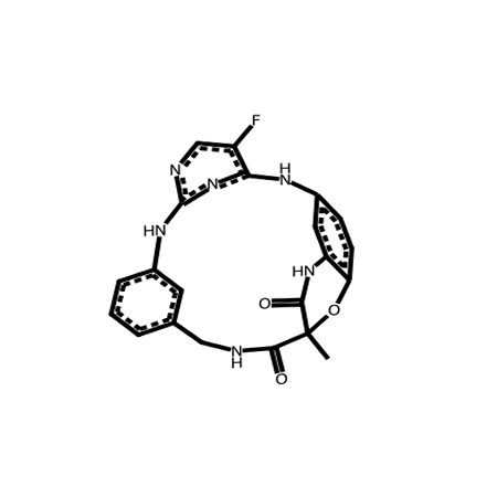 CC12Oc3ccc(cc3NC1=O)Nc1nc(ncc1F)Nc1cccc(c1)CNC2=O